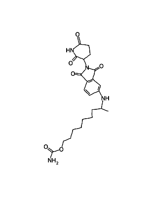 CC(CCCCCCCOC(N)=O)Nc1ccc2c(c1)C(=O)N(C1CCC(=O)NC1=O)C2=O